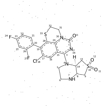 O=c1nc(N2CCNC3CS(=O)(=O)C[C@@H]32)c2cc(Cl)c(-c3ccc(F)cc3F)c3c2n1CCS3